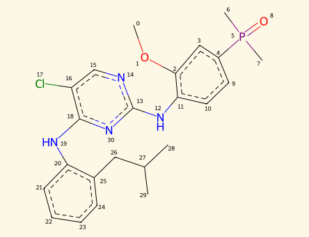 COc1cc(P(C)(C)=O)ccc1Nc1ncc(Cl)c(Nc2ccccc2CC(C)C)n1